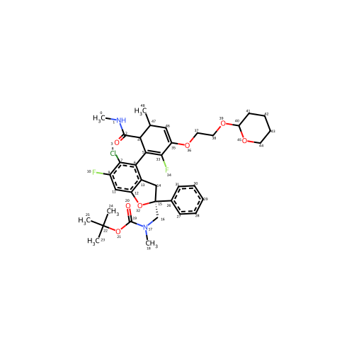 CNC(=O)C1C(c2c(Cl)c(F)cc3c2C[C@@](CN(C)C(=O)OC(C)(C)C)(c2ccccc2)O3)=C(F)C(OCCOC2CCCCO2)=CC1C